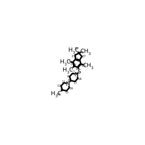 Cc1c(C)c(SN2CCC(N3CCC(C)CC3)CC2)c(C)c2c1CC(C)(C)C2